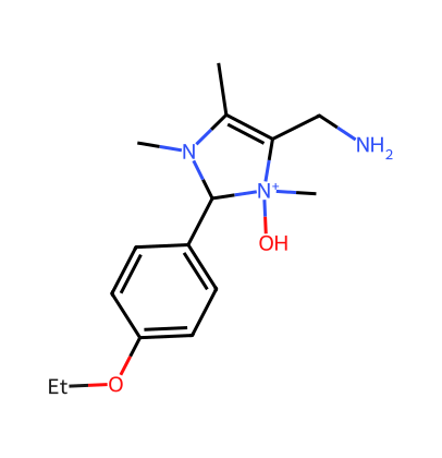 CCOc1ccc(C2N(C)C(C)=C(CN)[N+]2(C)O)cc1